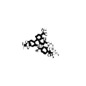 Cc1ccc2c(-c3cc4c(cc3N[S+]([O-])c3ccc(C(C)(C)C)c(F)c3)OC(F)(F)O4)ccc(C(=O)O)c2n1